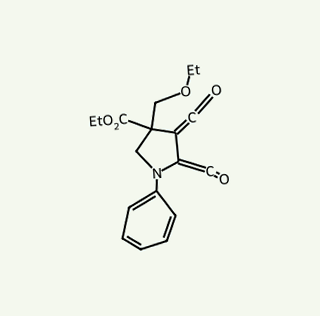 CCOCC1(C(=O)OCC)CN(c2ccccc2)C(=C=O)C1=C=O